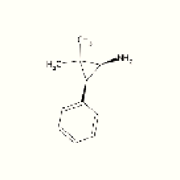 CC1(C)[C@H](c2ccccc2)[C@@H]1N